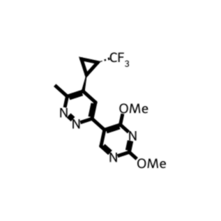 COc1ncc(-c2cc([C@H]3C[C@@H]3C(F)(F)F)c(C)nn2)c(OC)n1